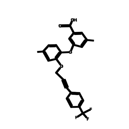 Cc1cc(Oc2ccc(C)cc2OCC#Cc2ccc(C(F)(F)F)cc2)cc(C(=O)O)c1